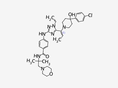 C=Cn1nc(Nc2ccc(C(=O)NC(C)(C)CN3CCOCC3)cc2)nc1/C(=C\C)N1CCC(O)(c2ccc(Cl)cc2)CC1